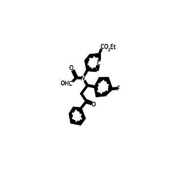 CCOC(=O)c1ccc(N(C(=O)C=O)C(CC(=O)c2ccccc2)c2ccc(F)cc2)cc1